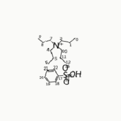 CCC[N+](CCC)(CCC)CCC.O=S(=O)(O)c1ccccc1